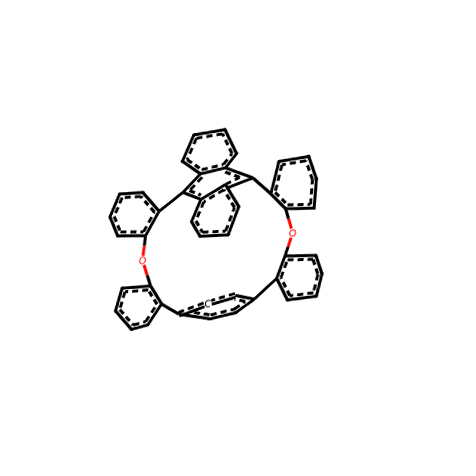 c1ccc2c(c1)Oc1ccccc1-c1c3ccccc3c(c3ccccc13)-c1ccccc1Oc1ccccc1-c1ccc-2cc1